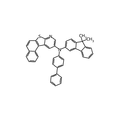 CC1(C)c2ccccc2-c2cc(N(c3ccc(-c4ccccc4)cc3)c3cnc4sc5ccc6ccccc6c5c4c3)ccc21